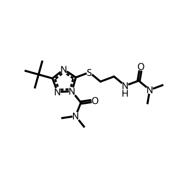 CN(C)C(=O)NCCSc1nc(C(C)(C)C)nn1C(=O)N(C)C